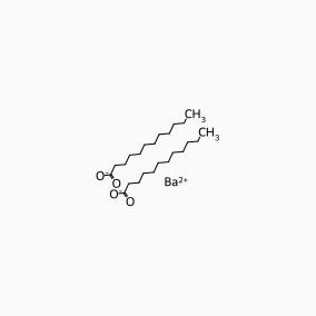 CCCCCCCCCCCC(=O)[O-].CCCCCCCCCCCC(=O)[O-].[Ba+2]